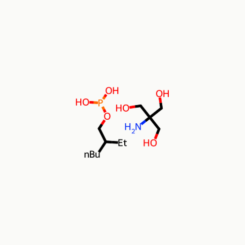 CCCCC(CC)COP(O)O.NC(CO)(CO)CO